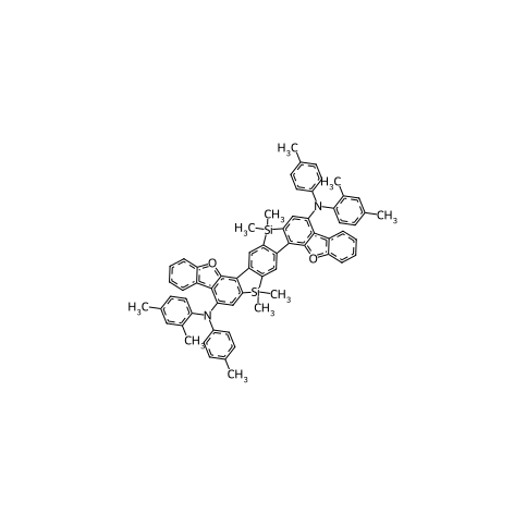 Cc1ccc(N(c2ccc(C)cc2C)c2cc3c(c4oc5ccccc5c24)-c2cc4c(cc2[Si]3(C)C)-c2c(cc(N(c3ccc(C)cc3)c3ccc(C)cc3C)c3c2oc2ccccc23)[Si]4(C)C)cc1